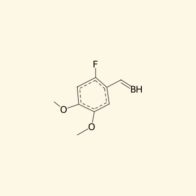 B=Cc1cc(OC)c(OC)cc1F